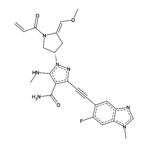 C=CC(=O)N1C[C@@H](n2nc(C#Cc3cc4ncn(C)c4cc3F)c(C(N)=O)c2NC)C/C1=C\OC